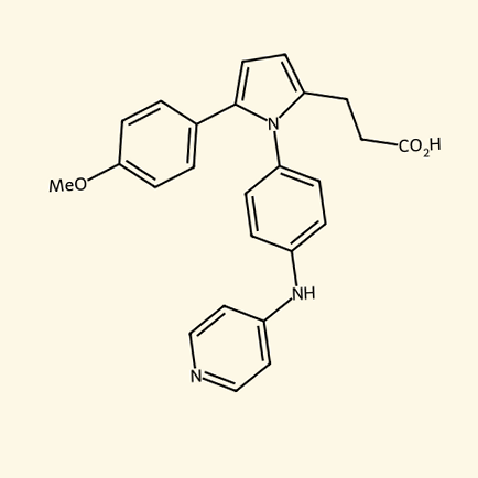 COc1ccc(-c2ccc(CCC(=O)O)n2-c2ccc(Nc3ccncc3)cc2)cc1